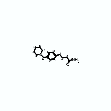 NC(=O)CCCc1ccc(CN2CCCCC2)cc1